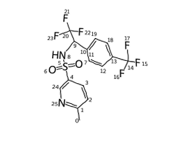 Cc1ccc(S(=O)(=O)NC(c2ccc(C(F)(F)F)cc2)C(F)(F)F)cn1